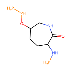 O=C1NCC(OPP)CCC1NP